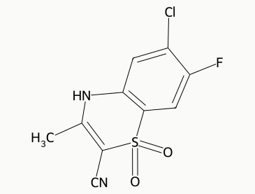 CC1=C(C#N)S(=O)(=O)c2cc(F)c(Cl)cc2N1